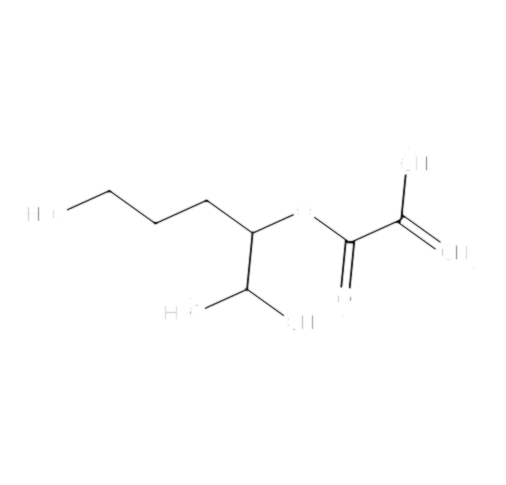 C=C(C)C(=O)OC(CCCC)C(C)C